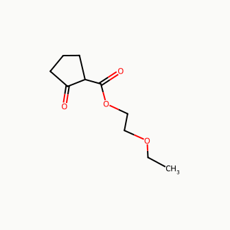 CCOCCOC(=O)C1CCCC1=O